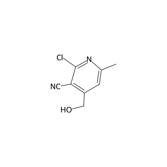 Cc1cc(CO)c(C#N)c(Cl)n1